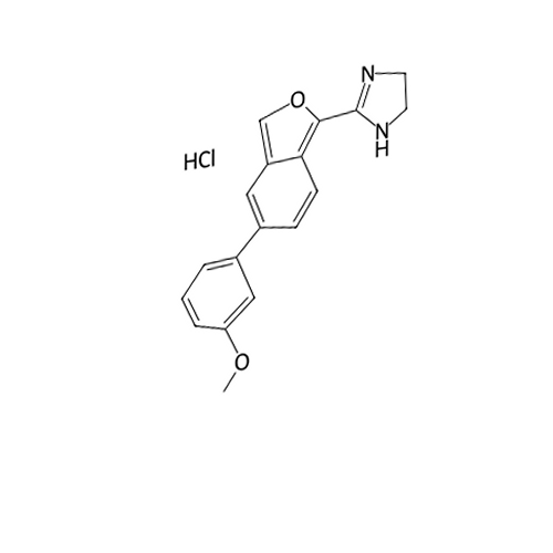 COc1cccc(-c2ccc3c(C4=NCCN4)occ3c2)c1.Cl